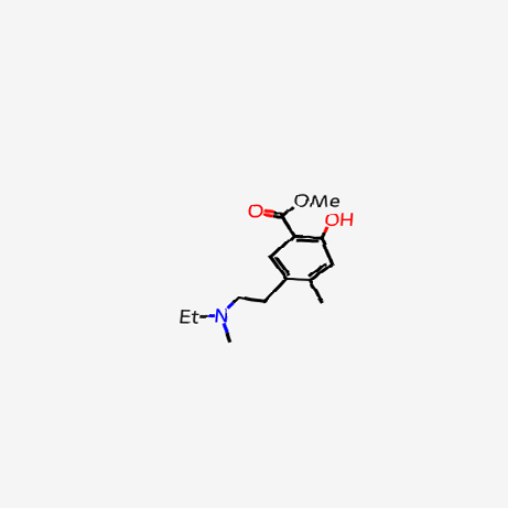 CCN(C)CCc1cc(C(=O)OC)c(O)cc1C